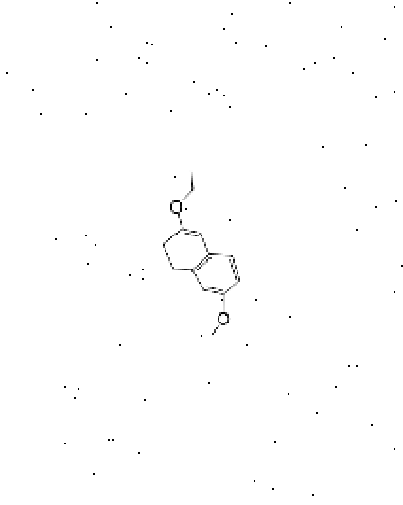 CCOC1=Cc2ccc(OC)cc2CC1